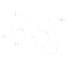 CCN(OC)OC.NS(=O)(=O)c1cccc2c1OCO2